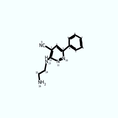 N#Cc1cc(-c2ccccc2)nnc1NCCN